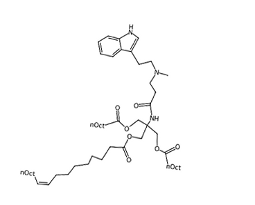 CCCCCCCC/C=C\CCCCCCCC(=O)OCC(COC(=O)CCCCCCCC)(COC(=O)CCCCCCCC)NC(=O)CCN(C)CCc1c[nH]c2ccccc12